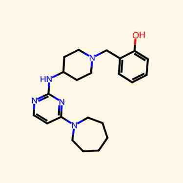 Oc1ccccc1CN1CCC(Nc2nccc(N3CCCCCC3)n2)CC1